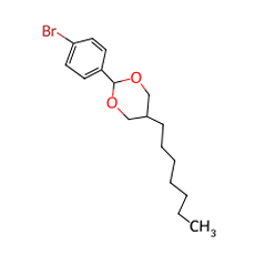 CCCCCCCC1COC(c2ccc(Br)cc2)OC1